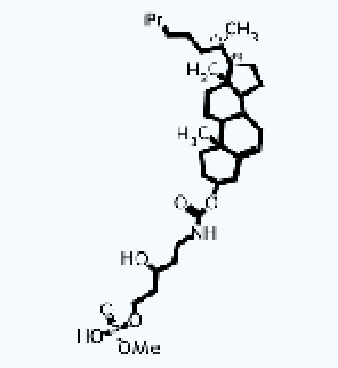 COP(=O)(O)OCCC(O)CCNC(=O)OC1CCC2(C)C(=CCC3C2CCC2(C)C3CC[C@@H]2[C@@H](C)CCCC(C)C)C1